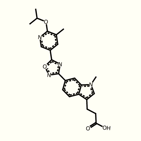 Cc1cc(-c2nc(-c3ccc4c(CCC(=O)O)cn(C)c4c3)no2)cnc1OC(C)C